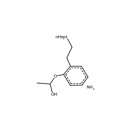 CCCCCCCCCc1ccccc1OC(C)O.N